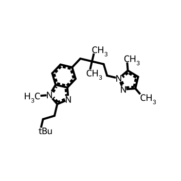 Cc1cc(C)n(CCC(C)(C)Cc2ccc3c(c2)nc(CCC(C)(C)C)n3C)n1